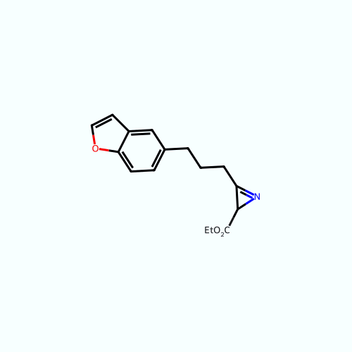 CCOC(=O)C1N=C1CCCc1ccc2occc2c1